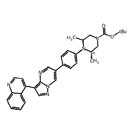 CC1CN(C(=O)OC(C)(C)C)C[C@@H](C)N1c1ccc(-c2cnc3c(-c4ccnc5ccccc45)cnn3c2)cc1